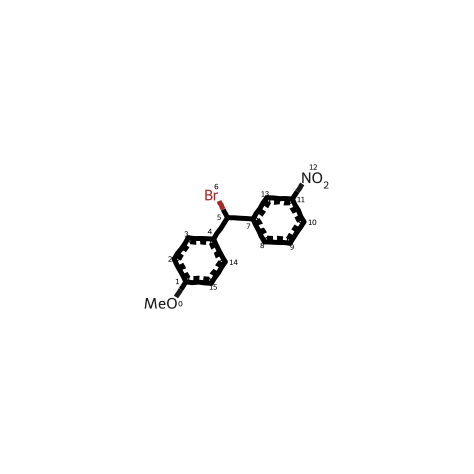 COc1ccc(C(Br)c2cccc([N+](=O)[O-])c2)cc1